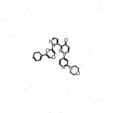 O=c1ccn(-c2ccnc(N3CCOCC3)c2)nc1-c1ccnn1C1=COC=C(C2=CC=CCC2)O1